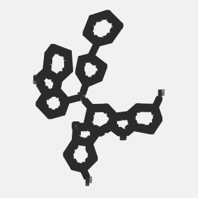 Fc1ccc2sc3c(cc(N(c4ccc(-c5ccccc5)cc4)c4cccc5sc6ccccc6c45)c4oc5ccc(F)cc5c43)c2c1